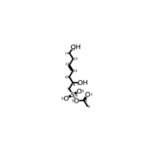 CC(=O)OS(=O)(=O)CC(O)CC=CCCO